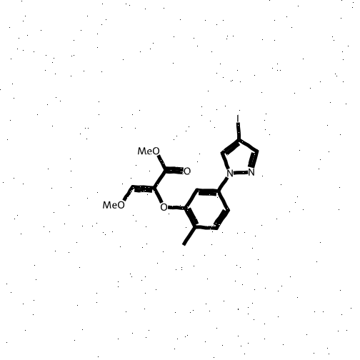 CO/C=C(\Oc1cc(-n2cc(I)cn2)ccc1C)C(=O)OC